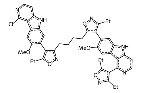 CCc1noc(CCCCc2noc(CC)c2-c2cc3[nH]c4ccnc(Cl)c4c3cc2OC)c1-c1cc2[nH]c3ccnc(-c4c(CC)noc4CC)c3c2cc1OC